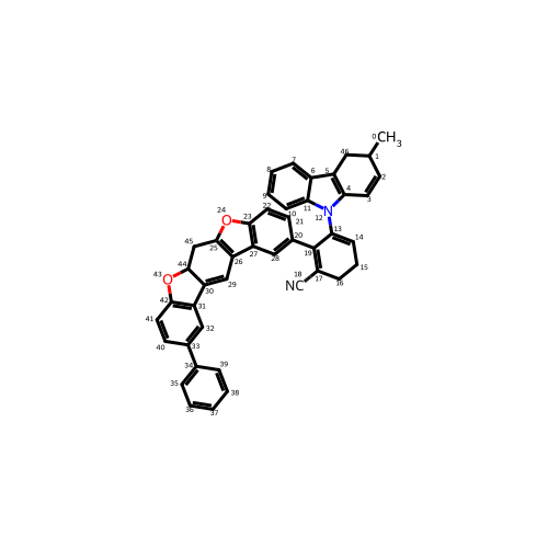 CC1C=Cc2c(c3ccccc3n2C2=CCCC(C#N)=C2c2ccc3oc4c(c3c2)C=C2c3cc(-c5ccccc5)ccc3OC2C4)C1